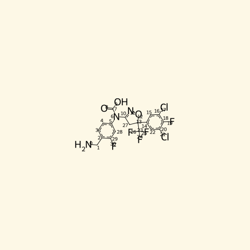 NCc1ccc(N(C(=O)O)C2=NOC(c3cc(Cl)c(F)c(Cl)c3)(C(F)(F)F)C2)cc1F